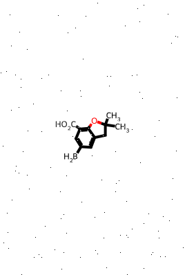 Bc1cc2c(c(C(=O)O)c1)OC(C)(C)C2